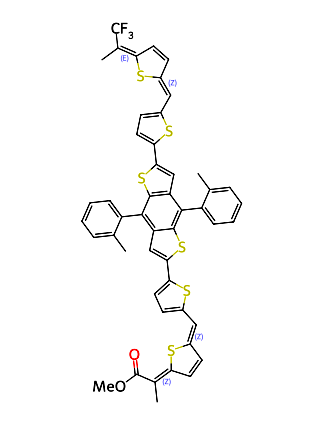 COC(=O)/C(C)=c1/cc/c(=C/c2ccc(-c3cc4c(-c5ccccc5C)c5sc(-c6ccc(/C=c7/cc/c(=C(/C)C(F)(F)F)s7)s6)cc5c(-c5ccccc5C)c4s3)s2)s1